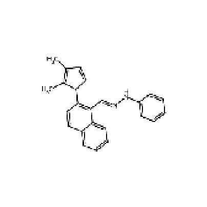 CC1=C(C)C(c2ccc3ccccc3c2C=NNc2ccccc2)C=C1